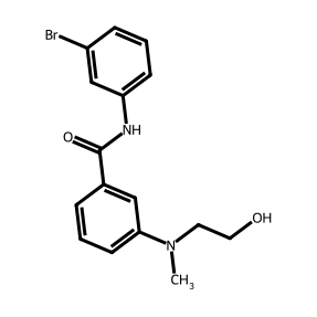 CN(CCO)c1cccc(C(=O)Nc2cccc(Br)c2)c1